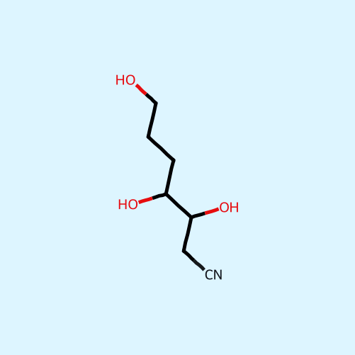 N#CCC(O)C(O)CCCO